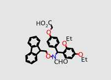 CCOc1ccc(C(c2ccc(OCC(=O)O)cc2)N(C=O)OCC2c3ccccc3-c3ccccc32)c(OCC)c1